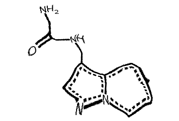 NC(=O)Nc1cnn2ccccc12